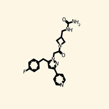 NC(=O)NCC1CN(C(=O)Cn2nc(-c3ccncc3)cc2Cc2ccc(F)cc2)C1